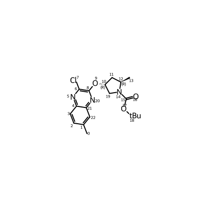 Cc1ccc2nc(Cl)c(O[C@@H]3C[C@@H](C)N(C(=O)OC(C)(C)C)C3)nc2c1